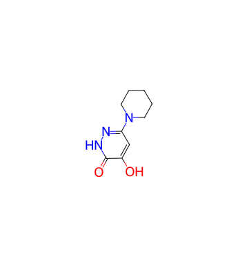 O=c1[nH]nc(N2CCCCC2)cc1O